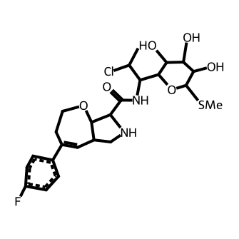 CSC1OC(C(NC(=O)C2NCC3C=C(c4ccc(F)cc4)CCOC32)C(C)Cl)C(O)C(O)C1O